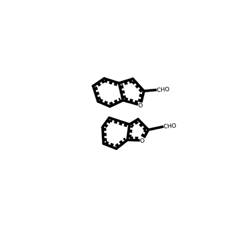 O=Cc1cc2ccccc2o1.O=Cc1cc2ccccc2o1